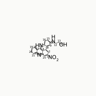 O=[N+]([O-])c1ccc2c(Nc3ccc(NCCO)cc3)c3ccccc3nc2c1